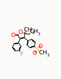 CCC1(C)OC(=O)C(c2cccc(F)c2)=C1c1ccc(S(C)(=O)=O)cc1